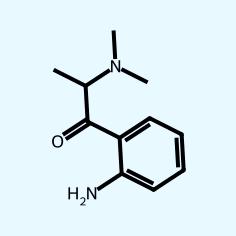 CC(C(=O)c1ccccc1N)N(C)C